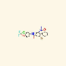 O=C(Nc1ccc(OC(F)(F)Cl)cc1)c1cc(Br)c2c(c1)NC(=O)C21CCCCC1